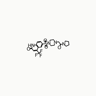 O=C(CN1CCN(S(=O)(=O)c2ccc3[nH]c(=O)cc(C(F)(F)F)c3c2)CC1)N1CCCC1